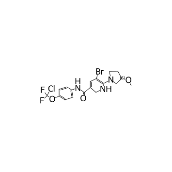 CO[C@H]1CCN(C2=C(Br)C=C(C(=O)Nc3ccc(OC(F)(F)Cl)cc3)CN2)C1